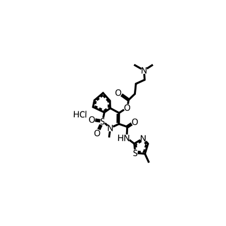 Cc1cnc(NC(=O)C2=C(OC(=O)CCCN(C)C)c3ccccc3S(=O)(=O)N2C)s1.Cl